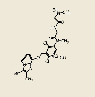 CCN(C)CC(=O)NCC(=O)N(C)c1ccc(Cl)c(COc2cccn3c(Br)c(C)nc23)c1Cl.Cl.Cl